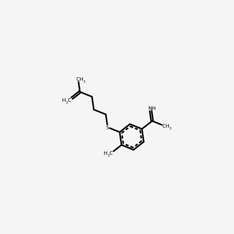 C=C(C)CCCSc1cc(C(C)=N)ccc1C